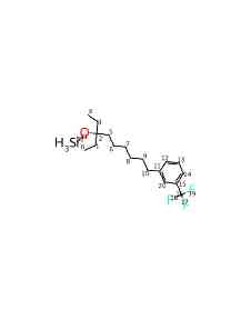 CCC(CC)(CCCCCCc1cccc(C(F)(F)F)c1)O[SiH3]